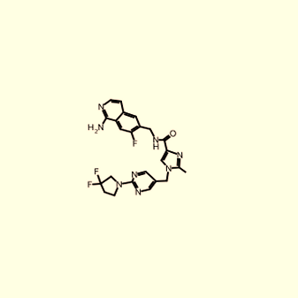 Cc1nc(C(=O)NCc2cc3ccnc(N)c3cc2F)cn1Cc1cnc(N2CCC(F)(F)C2)nc1